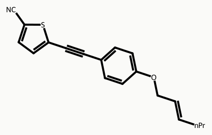 CCCC=CCOc1ccc(C#Cc2ccc(C#N)s2)cc1